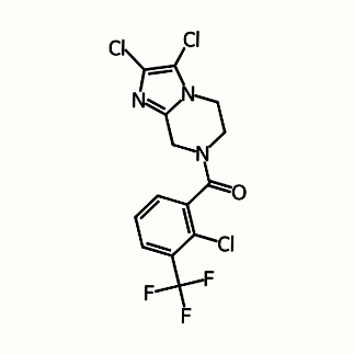 O=C(c1cccc(C(F)(F)F)c1Cl)N1CCn2c(nc(Cl)c2Cl)C1